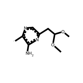 [CH2]c1ncc(CC(OC)OC)nc1N